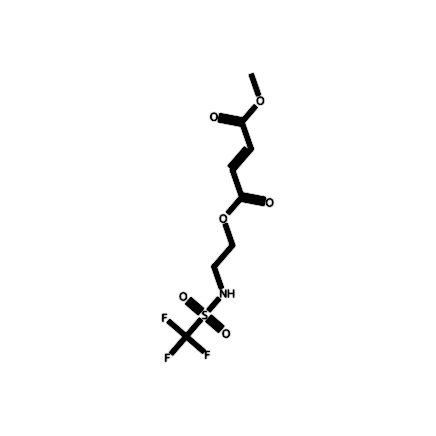 COC(=O)/C=C/C(=O)OCCNS(=O)(=O)C(F)(F)F